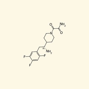 NC(=O)C(=O)N1CCC([C@H](N)Cc2cc(F)c(F)cc2F)CC1